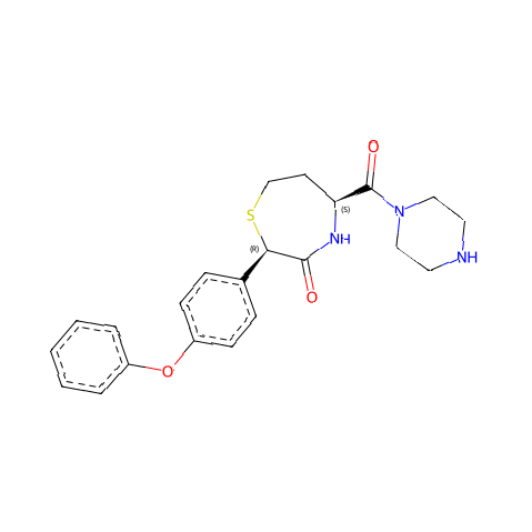 O=C1N[C@H](C(=O)N2CCNCC2)CCS[C@@H]1c1ccc(Oc2ccccc2)cc1